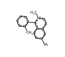 Cc1ccccc1-c1c2ccc(C(C)C)cc2cc[n+]1C